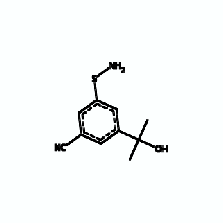 CC(C)(O)c1cc(C#N)cc(SN)c1